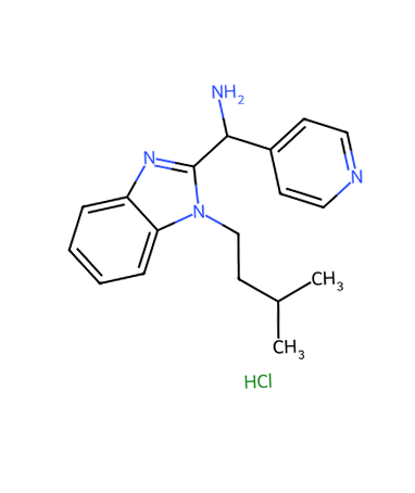 CC(C)CCn1c(C(N)c2ccncc2)nc2ccccc21.Cl